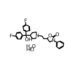 Cl.O.O=C1OC(CCN2CCC(C(O)(c3ccc(F)cc3)c3ccc(F)cc3)CC2)CN1c1ccccc1